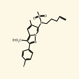 C=CCCCN(c1cn2nc(-c3ccc(F)cc3)c(C(=O)OCC)c2cc1C)S(C)(=O)=O